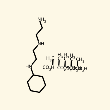 CC(=O)O.CC(=O)O.CC(=O)O.CC(=O)O.CC(=O)O.NCCNCCNC1CCCCC1